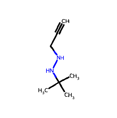 C#CCNNC(C)(C)C